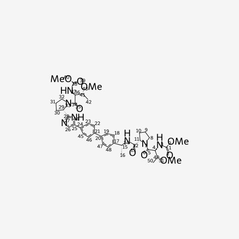 COC(=O)N[C@H](C(=O)N1CCC[C@H]1C(=O)N[C@H](C)c1ccc(-c2ccc(-c3cnc([C@@H]4CCCN4C(=O)[C@@H](NC(=O)OC)[C@@H](C)OC)[nH]3)cc2)cc1)[C@@H](C)OC